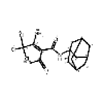 CC(=O)C(C(=O)NC12CC3CC(CC(C3)C1)C2)=C(N)C(Cl)(Cl)Cl